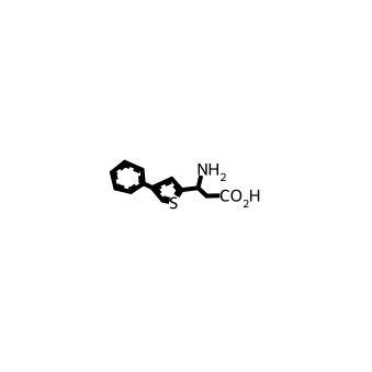 NC(CC(=O)O)c1cc(-c2ccccc2)cs1